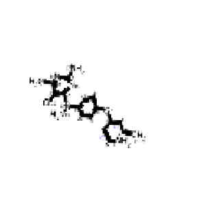 C=C/C=C(\C=C/N)Sc1ccc(N(N)c2nc(N)nc(C)c2Cl)cc1